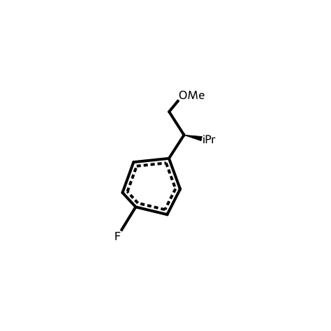 COC[C@H](c1ccc(F)cc1)C(C)C